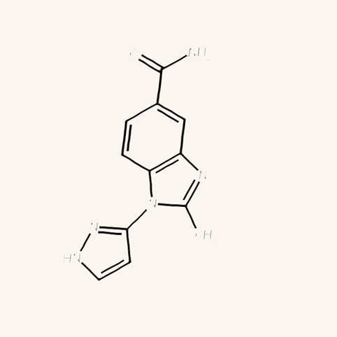 Cc1nc2cc(C(N)=O)ccc2n1-c1cc[nH]n1